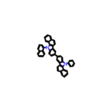 c1ccc(-n2c3ccc(-c4ccc5c(c4)c4ccc6ccccc6c4n5-c4cccc5ccccc45)cc3c3ccc4ccccc4c32)cc1